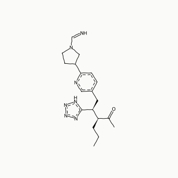 CCC[C@H](C(C)=O)[C@H](Cc1ccc(C2CCN(C=N)C2)nc1)c1nnn[nH]1